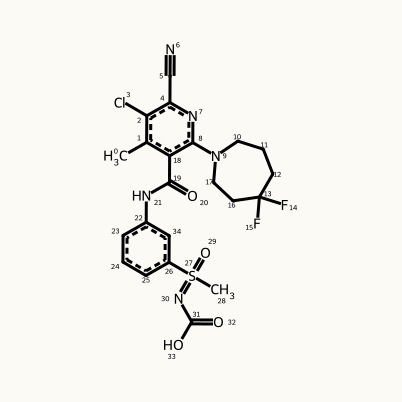 Cc1c(Cl)c(C#N)nc(N2CCCC(F)(F)CC2)c1C(=O)Nc1cccc(S(C)(=O)=NC(=O)O)c1